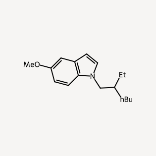 CCCCC(CC)Cn1ccc2cc(OC)ccc21